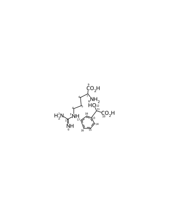 N=C(N)NCCCC(N)C(=O)O.O=C(O)C(O)c1ccccc1